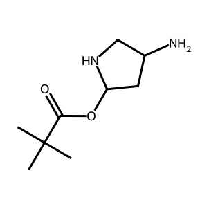 CC(C)(C)C(=O)OC1CC(N)CN1